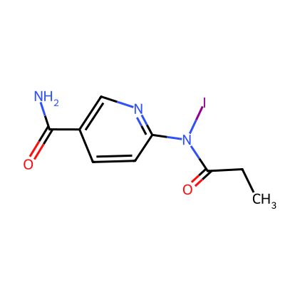 CCC(=O)N(I)c1ccc(C(N)=O)cn1